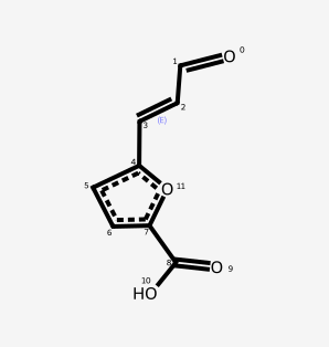 O=C/C=C/c1ccc(C(=O)O)o1